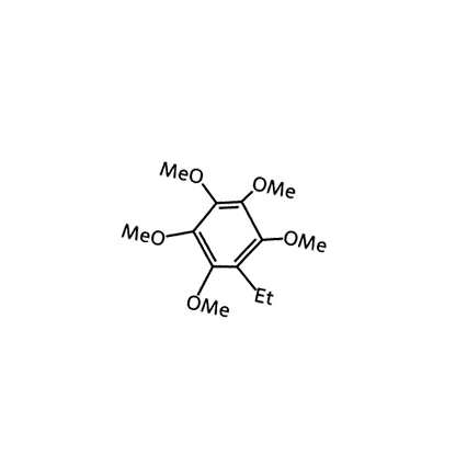 CCc1c(OC)c(OC)c(OC)c(OC)c1OC